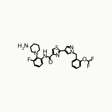 N[C@@H]1CCCN(c2c(F)cccc2NC(=O)c2csc(-c3cnn(Cc4ccccc4OC(F)F)c3)n2)C1